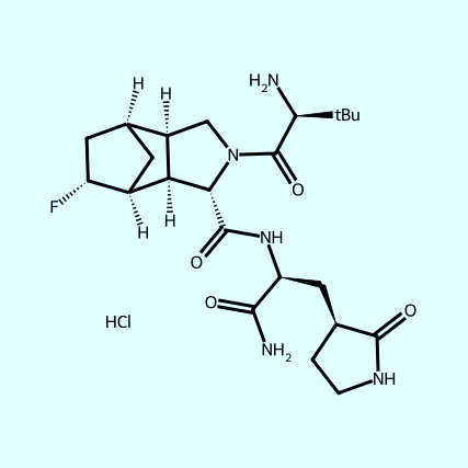 CC(C)(C)[C@H](N)C(=O)N1C[C@@H]2[C@H]3C[C@@H]([C@@H]2[C@H]1C(=O)N[C@@H](C[C@@H]1CCNC1=O)C(N)=O)[C@H](F)C3.Cl